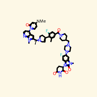 CNc1ccn(-c2ccnc3c2cc([C@H](C)N2CC=C(c4c(C)cc(C(=O)N5CCC(CN6CCN(c7cc8c(cc7F)n(C7CCC(=O)NC7=O)c(=O)n8C)CC6)CC5)cc4F)CC2)n3C)c(=O)c1